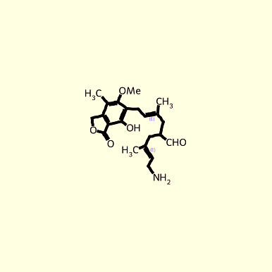 COc1c(C)c2c(c(O)c1C/C=C(\C)CC(C=O)C/C(C)=C/CN)C(=O)OC2